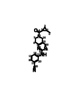 CC1CC1C(=O)N1CCc2nc(Nc3cccc(C#N)c3)ncc2C1